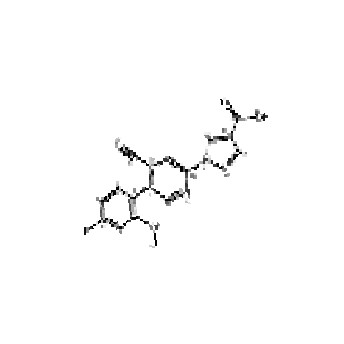 COc1cc(F)ccc1-c1cnc(-n2cc(C(=O)O)cn2)cc1C#N